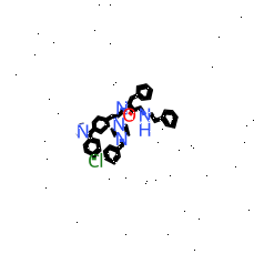 CN(C)C(c1ccc(Cl)cc1)C1CCC(CC(c2nc(Cc3ccccc3)c(CNCCc3ccccc3)o2)N2CCN(Cc3ccccc3)CC2)CC1